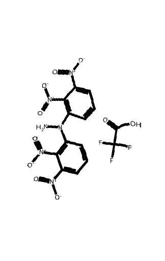 NN(c1cccc([N+](=O)[O-])c1[N+](=O)[O-])c1cccc([N+](=O)[O-])c1[N+](=O)[O-].O=C(O)C(F)(F)F